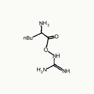 CCCCC(N)C(=O)ONC(=N)N